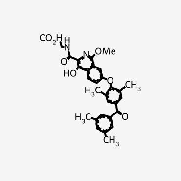 COc1nc(C(=O)NCC(=O)O)c(O)c2ccc(Oc3c(C)cc(C(=O)c4cc(C)cc(C)c4)cc3C)cc12